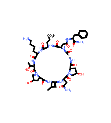 CC(O)C1NC(=O)C(CCCCN)NC(=O)C(CCC(=O)O)NC(=O)C(CC(=O)NC(Cc2ccccc2)C(N)=O)NC(=O)CNC(=O)C2CC(O)CN2C(=O)C(CC(N)=O)NC2=CC(C)C2NC(=O)C2CC(O)CN2C1=O